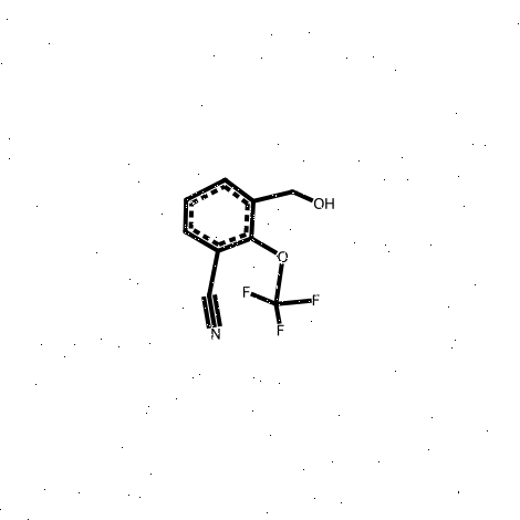 N#Cc1cccc([CH]O)c1OC(F)(F)F